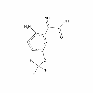 N=C(C(=O)O)c1cc(OC(F)(F)F)ccc1N